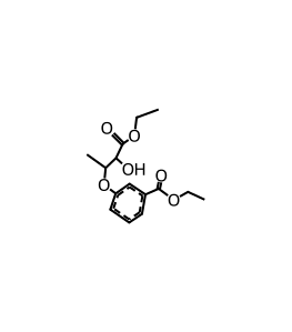 CCOC(=O)c1cccc(OC(C)C(O)C(=O)OCC)c1